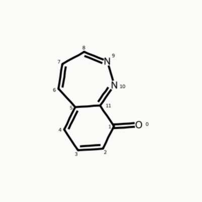 O=c1cccc2cccnnc1-2